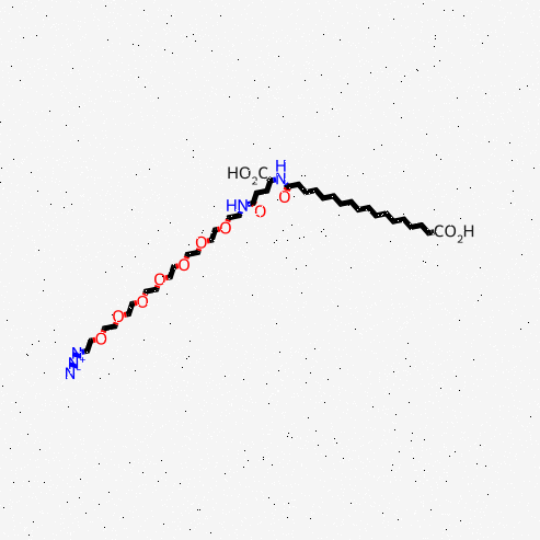 [N-]=[N+]=NCCOCCOCCOCCOCCOCCOCCOCCNC(=O)CCC(NC(=O)CCCCCCCCCCCCCCCCC(=O)O)C(=O)O